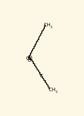 CCCCCCCCCCCCCCCCCCCCCCCCCCCCCC(=O)OC(=O)CCCCCCCCCCCCCCCCCCCCCCCCCCCCC